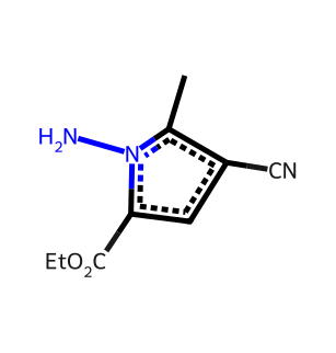 CCOC(=O)c1cc(C#N)c(C)n1N